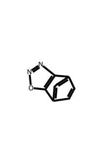 c1cc2ccc1c1nnoc21